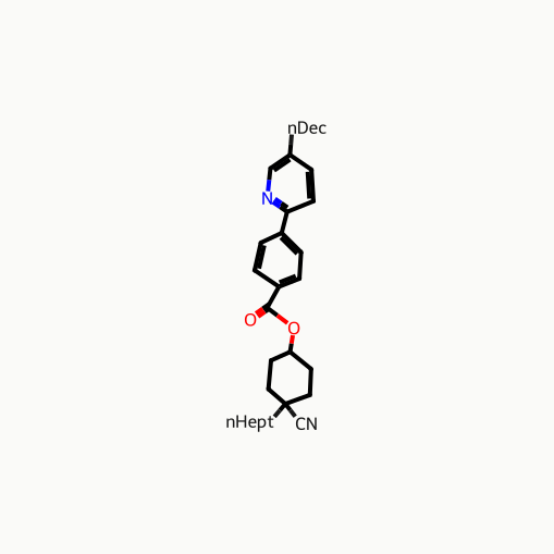 CCCCCCCCCCc1ccc(-c2ccc(C(=O)OC3CCC(C#N)(CCCCCCC)CC3)cc2)nc1